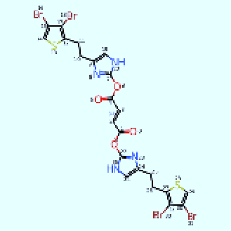 O=C(/C=C/C(=O)Oc1nc(CCc2scc(Br)c2Br)c[nH]1)Oc1nc(CCc2scc(Br)c2Br)c[nH]1